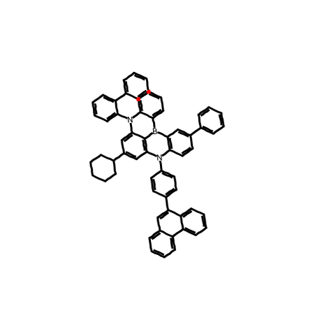 c1ccc(-c2ccc3c(c2)B2c4ccccc4N(c4ccccc4-c4ccccc4)c4cc(C5CCCCC5)cc(c42)N3c2ccc(-c3cc4ccccc4c4ccccc34)cc2)cc1